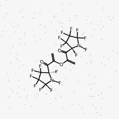 C=C(OC(=C)C(=O)[C@@]1(F)N(F)C(F)(F)C(F)(F)C1(F)F)C(=O)[C@@]1(F)N(F)C(F)(F)C(F)(F)C1(F)F